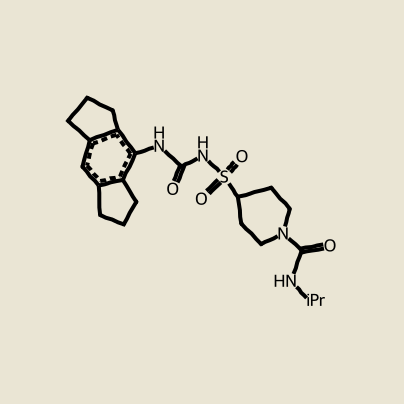 CC(C)NC(=O)N1CCC(S(=O)(=O)NC(=O)Nc2c3c(cc4c2CCC4)CCC3)CC1